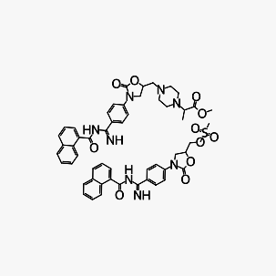 COC(=O)C(C)N1CCN(CC2CN(c3ccc(C(=N)NC(=O)c4cccc5ccccc45)cc3)C(=O)O2)CC1.CS(=O)(=O)OCC1CN(c2ccc(C(=N)NC(=O)c3cccc4ccccc34)cc2)C(=O)O1